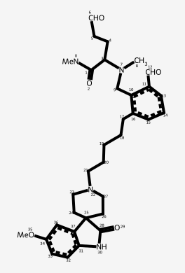 CNC(=O)C(CCC=O)N(C)Cc1c(C=O)cccc1CCCCCN1CCC2(CC1)C(=O)Nc1ccc(OC)cc12